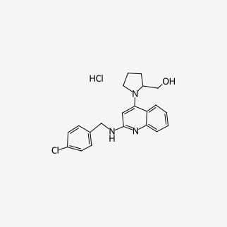 Cl.OCC1CCCN1c1cc(NCc2ccc(Cl)cc2)nc2ccccc12